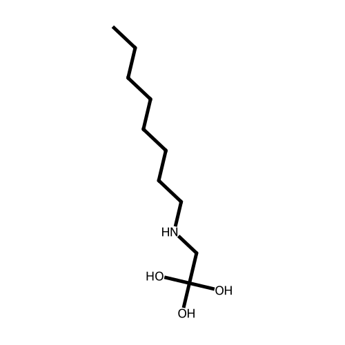 CCCCCCCCNCC(O)(O)O